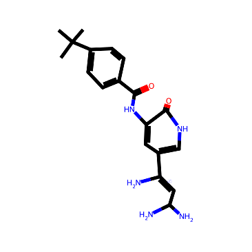 CC(C)(C)c1ccc(C(=O)Nc2cc(/C(N)=C/C(N)N)c[nH]c2=O)cc1